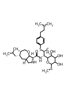 CSC1OC([C@H](NC(=O)[C@H]2NC[C@@H]3C[C@H](CC(C)C)CCO[C@H]32)[C@H](C)Sc2ccc(CCN(C)C)cc2)C(O)C(O)C1O